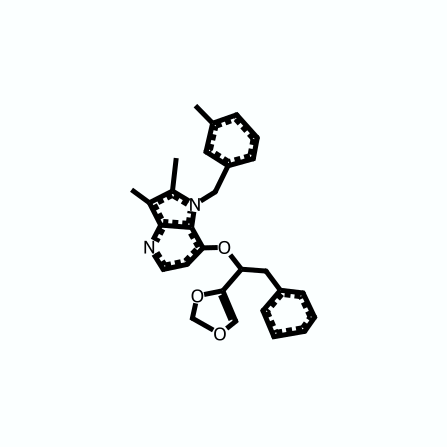 Cc1cccc(Cn2c(C)c(C)c3nccc(OC(Cc4ccccc4)C4=COCO4)c32)c1